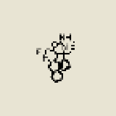 NC1=NC(CF)(c2ccccc2)C(c2nc3ccccc3cc2F)C(C(F)(F)F)O1